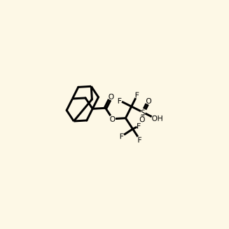 O=C(OC(C(F)(F)F)C(F)(F)S(=O)(=O)O)C12CC3CC(CC(C3)C1)C2